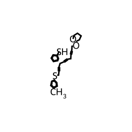 Cc1ccc(SCC#CCC#CCC#CCOC2CCCCO2)cc1.Sc1ccccc1